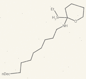 CCCCCCCCCCCCCCCCCCNC1([SiH2]CC)CCCCO1